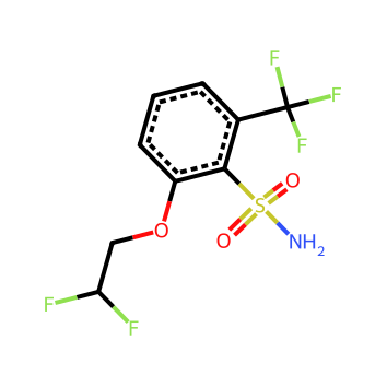 NS(=O)(=O)c1c(OCC(F)F)cccc1C(F)(F)F